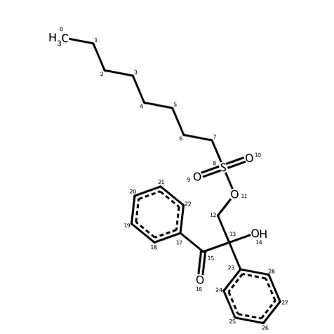 CCCCCCCCS(=O)(=O)OCC(O)(C(=O)c1ccccc1)c1ccccc1